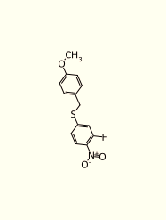 COc1ccc(CSc2ccc([N+](=O)[O-])c(F)c2)cc1